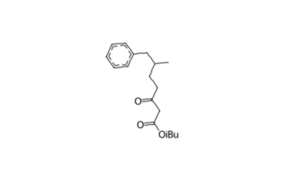 CC(C)COC(=O)CC(=O)CCC(C)Cc1ccccc1